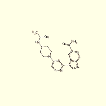 CC(O)NC1CCN(c2ccnc(-c3cnc4cnc(C(N)=O)cn34)n2)CC1